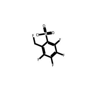 O=S(=O)(Cl)c1c(F)c(F)c(F)c(F)c1CF